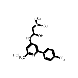 CCCCN(CCCC)CC(O)Nc1cc(-c2ccc(C(F)(F)F)cc2)nc(C(F)(F)F)c1.Cl